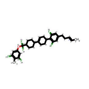 C/C=C/CCc1cc(F)c(C2CC=C(C3CCC(C(F)(F)Oc4cc(F)c(C(F)(F)F)c(F)c4)CC3)CC2)c(F)c1